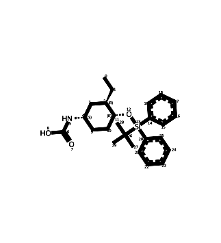 CC[C@@H]1C[C@@H](NC(=O)O)CC[C@H]1O[Si](c1ccccc1)(c1ccccc1)C(C)(C)C